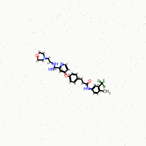 Cc1ccc(NC(=O)CCc2ccc(Oc3ccnc(C(=N)NCCN4CCOCC4)c3)cc2)cc1C(F)(F)F